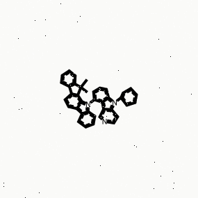 CC1(C)c2ccccc2-c2ccc3c4ccccc4n(-c4cccc5c4c4cnccc4n5-c4ccccc4)c3c21